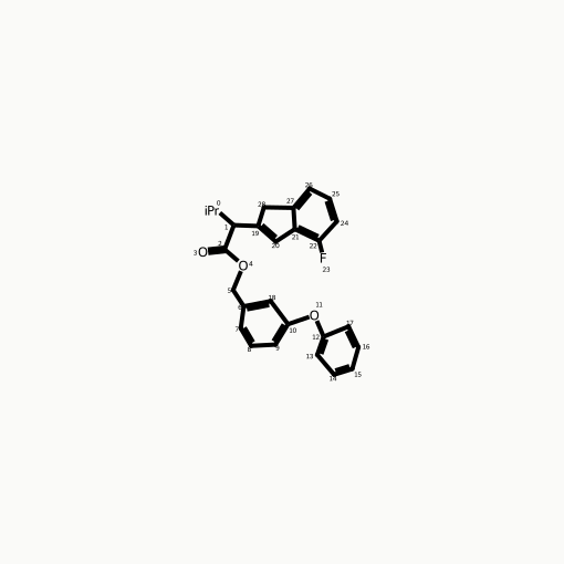 CC(C)C(C(=O)OCc1cccc(Oc2ccccc2)c1)C1=Cc2c(F)cccc2C1